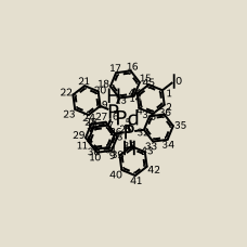 Ic1cc[c]([Pd]([PH](c2ccccc2)(c2ccccc2)c2ccccc2)[PH](c2ccccc2)(c2ccccc2)c2ccccc2)cc1